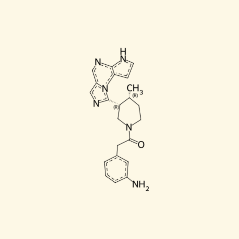 C[C@@H]1CCN(C(=O)Cc2cccc(N)c2)C[C@@H]1c1ncc2cnc3[nH]ccc3n12